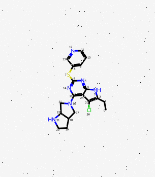 CCc1[nH]c2nc(Sc3cccnc3)nc(N3CC4CCNC4C3)c2c1Cl